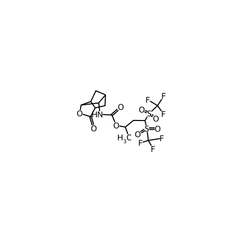 CC(CC(S(=O)(=O)C(F)(F)F)S(=O)(=O)C(F)(F)F)OC(=O)NC1C2CC3C(=O)OC1C3C2